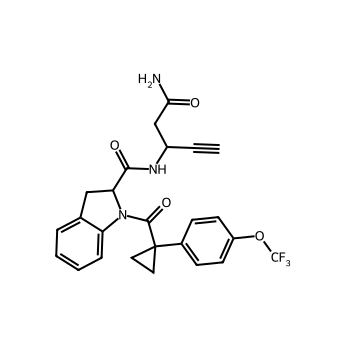 C#CC(CC(N)=O)NC(=O)C1Cc2ccccc2N1C(=O)C1(c2ccc(OC(F)(F)F)cc2)CC1